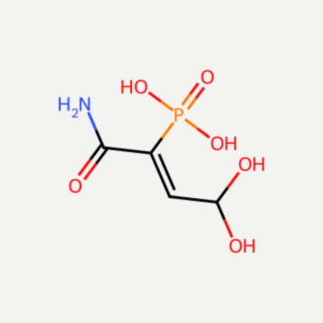 NC(=O)C(=CC(O)O)P(=O)(O)O